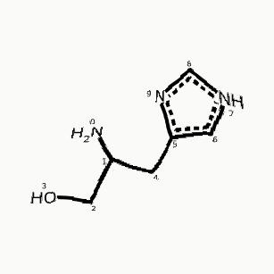 NC(CO)Cc1c[nH]cn1